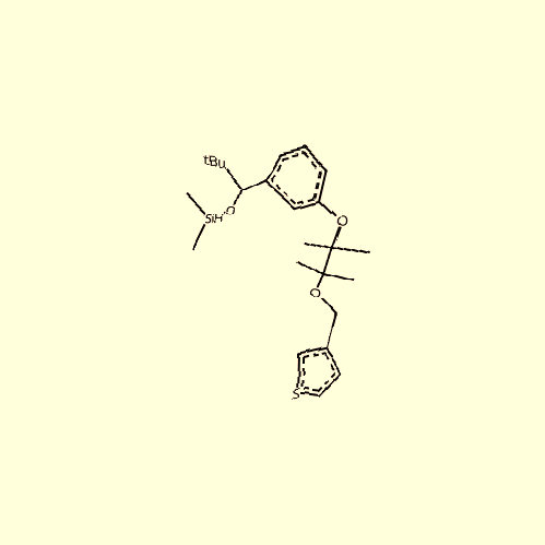 C[SiH](C)OC(c1cccc(OC(C)(C)C(C)(C)OCc2ccsc2)c1)C(C)(C)C